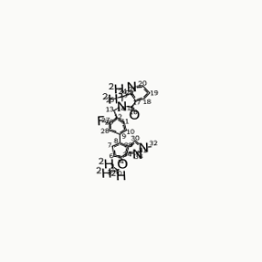 [2H]C([2H])([2H])Oc1ccc(-c2ccc(CN3C(=O)c4cccnc4C3([2H])[2H])c(F)c2)c2cn(C)nc12